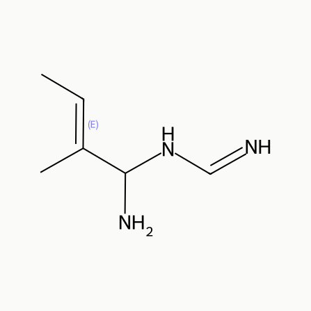 C/C=C(\C)C(N)NC=N